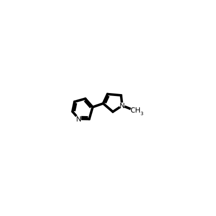 CN1CC=C(c2cccnc2)C1